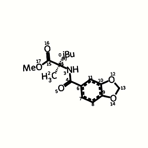 CC[C@@H](C)[C@@](C)(NC(=O)c1ccc2c(c1)OCO2)C(=O)OC